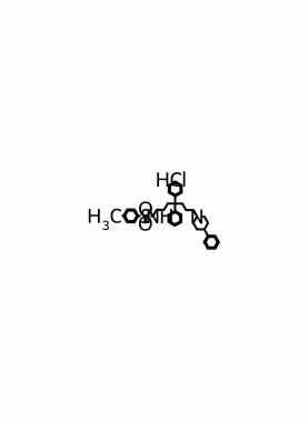 Cc1ccc(S(=O)(=O)NCCCC(CCCN2CCC(c3ccccc3)CC2)(c2ccccc2)c2ccccc2)cc1.Cl